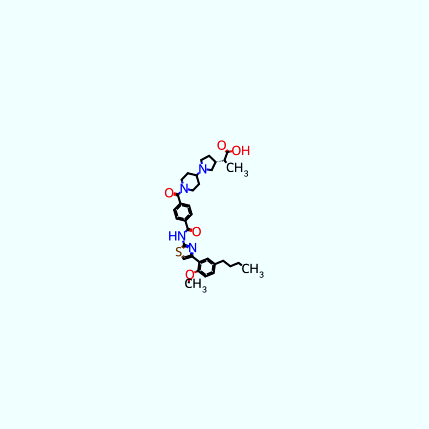 CCCCc1ccc(OC)c(-c2csc(NC(=O)c3ccc(C(=O)N4CCC(N5CC[C@H](C(C)C(=O)O)C5)CC4)cc3)n2)c1